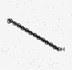 C=CC(=O)OCCCCOCCCCOCCCCOCCCCOCCCCOCCCCOCCCCOCCCCOCCCCOCCCCOCCCCOCCCCO